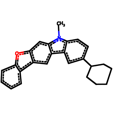 Cn1c2ccc(C3CCCCC3)cc2c2cc3c(cc21)oc1ccccc13